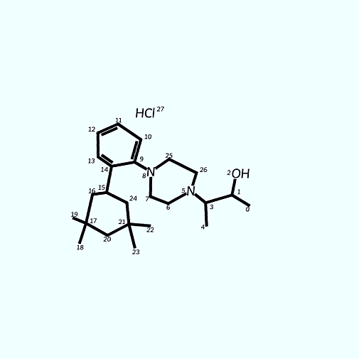 CC(O)C(C)N1CCN(c2ccccc2C2CC(C)(C)CC(C)(C)C2)CC1.Cl